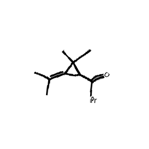 CC(C)=C1C(C(=O)C(C)C)C1(C)C